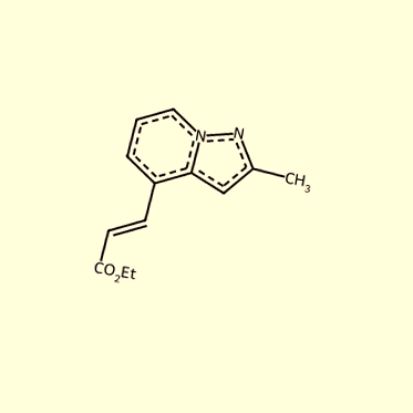 CCOC(=O)/C=C/c1cccn2nc(C)cc12